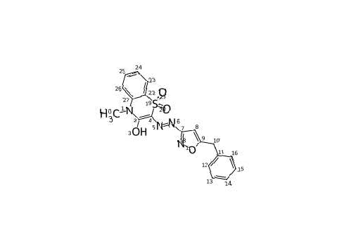 CN1C(O)=C(N=Nc2cc(Cc3ccccc3)on2)S(=O)(=O)c2ccccc21